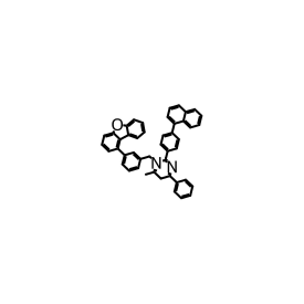 CC1=[N+](Cc2cccc(-c3cccc4oc5ccccc5c34)c2)C(c2ccc(-c3cccc4ccccc34)cc2)N=C(c2ccccc2)C1